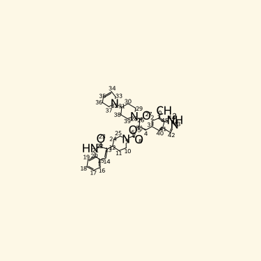 Cc1cc(C[C@@H](OC(=O)N2CCC(c3cc4ccccc4[nH]c3=O)CC2)C(=O)N2CCC(N3CC=CCC3)CC2)cc2cn[nH]c12